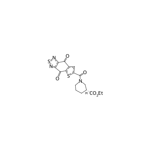 CCOC(=O)[C@@H]1CCCN(C(=O)c2cc3c(s2)C(=O)c2nsnc2C3=O)C1